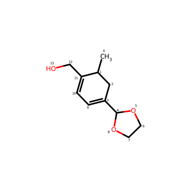 CC1CC(C2OCCO2)=CC=C1CO